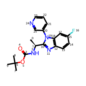 C[C@H](NC(=O)OC(C)(C)C)c1nc2ccc(F)cc2n1-c1cccnc1